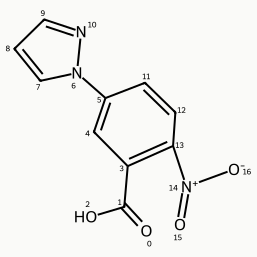 O=C(O)c1cc(-n2cccn2)ccc1[N+](=O)[O-]